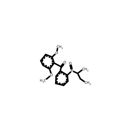 CCC(C)[P](=O)c1ccccc1C(=O)c1c(OC)cccc1OC